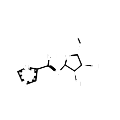 NC(=NC1O[C@H](CO)[C@@H](O)[C@H]1O)c1cscn1